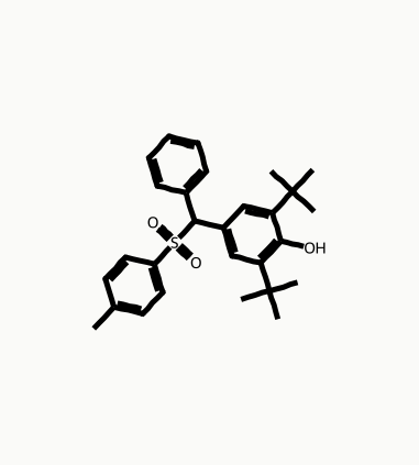 Cc1ccc(S(=O)(=O)C(c2ccccc2)c2cc(C(C)(C)C)c(O)c(C(C)(C)C)c2)cc1